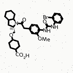 COc1cc(CC(=O)N2C3CCCCC3C[C@H]2COC2CCC(C(=O)O)CC2)ccc1NC(=O)Nc1ccccc1Br